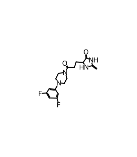 C=C1NC(=O)C(CCC(=O)N2CCN(c3cc(F)cc(F)c3)CC2)N1